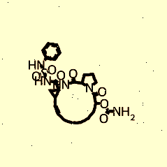 NC(=O)OC1CCCCCC=CC2CC2(C(=O)NS(=O)(=O)Nc2ccccc2)NC(=O)C2CCCN2C1=O